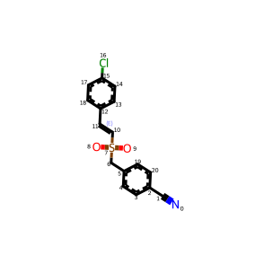 N#Cc1ccc(CS(=O)(=O)/C=C/c2ccc(Cl)cc2)cc1